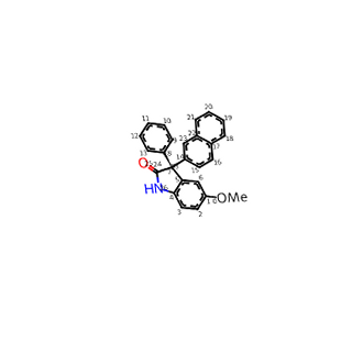 COc1ccc2c(c1)[C@@](c1ccccc1)(c1ccc3ccccc3c1)C(=O)N2